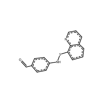 O=Cc1ccc(NSc2cccc3cccnc23)cc1